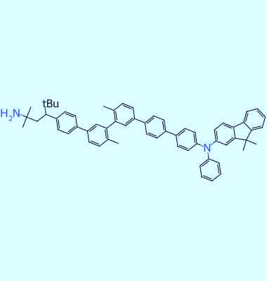 Cc1ccc(-c2ccc(-c3ccc(N(c4ccccc4)c4ccc5c(c4)C(C)(C)c4ccccc4-5)cc3)cc2)cc1-c1cc(-c2ccc(C(CC(C)(C)N)C(C)(C)C)cc2)ccc1C